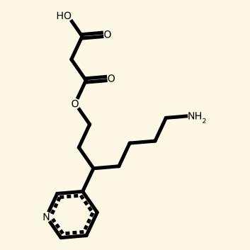 NCCCCC(CCOC(=O)CC(=O)O)c1cccnc1